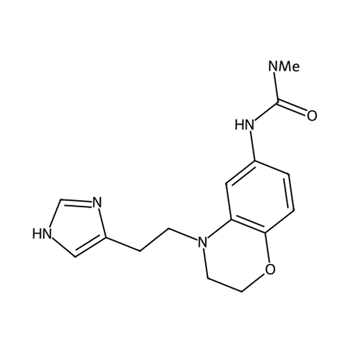 CNC(=O)Nc1ccc2c(c1)N(CCc1c[nH]cn1)CCO2